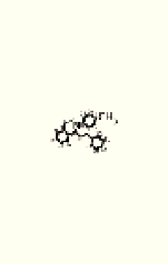 Cc1ccc(N2CCc3ccccc3C2CCc2ccccc2)cc1